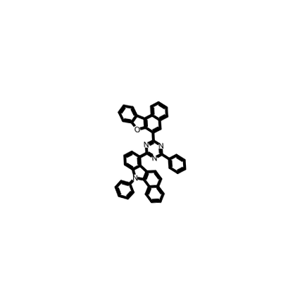 c1ccc(-c2nc(-c3cc4ccccc4c4c3oc3ccccc34)nc(-c3cccc4c3c3ccc5ccccc5c3n4-c3ccccc3)n2)cc1